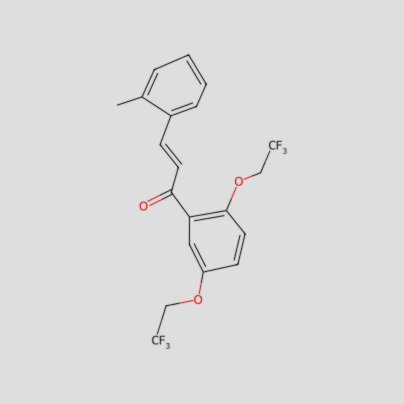 Cc1ccccc1C=CC(=O)c1cc(OCC(F)(F)F)ccc1OCC(F)(F)F